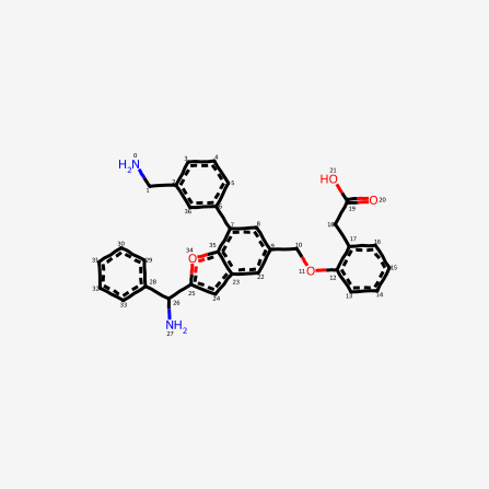 NCc1cccc(-c2cc(COc3ccccc3CC(=O)O)cc3cc(C(N)c4ccccc4)oc23)c1